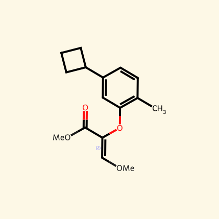 CO/C=C(\Oc1cc(C2CCC2)ccc1C)C(=O)OC